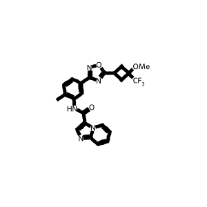 COC1(C(F)(F)F)CC(c2nc(-c3ccc(C)c(NC(=O)c4cnc5ccccn45)c3)no2)C1